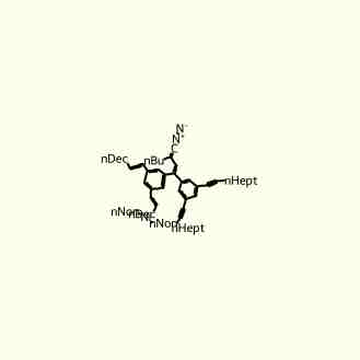 CCCCCCCC#Cc1cc(C#CCCCCCCC)cc(C(=CC(=C=[N+]=[N-])CCCC)c2cc(C=CCCCCCCCCCC)cc(C=CCCCCCCCCCC)c2)c1.CCCCCCCC[CH2][Ni][CH2]CCCCCCCC